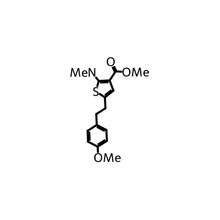 CNc1sc(CCc2ccc(OC)cc2)cc1C(=O)OC